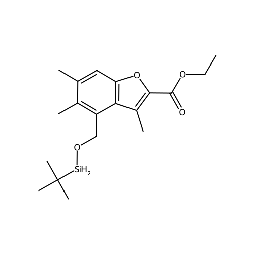 CCOC(=O)c1oc2cc(C)c(C)c(CO[SiH2]C(C)(C)C)c2c1C